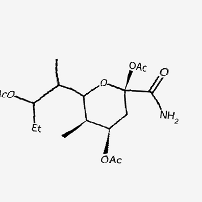 CCC(OC(C)=O)C(C)C1O[C@](OC(C)=O)(C(N)=O)C[C@@H](OC(C)=O)[C@H]1C